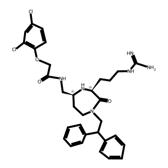 N=C(N)NCCC[C@@H]1N[C@H](CNC(=O)COc2ccc(Cl)cc2Cl)CCN(CC(c2ccccc2)c2ccccc2)C1=O